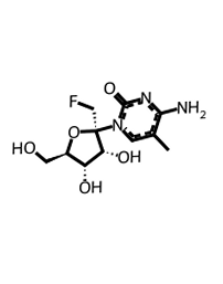 Cc1cn([C@]2(CF)O[C@H](CO)[C@@H](O)[C@H]2O)c(=O)nc1N